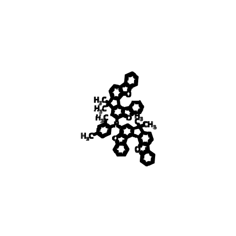 Cc1ccc(N(c2cc3c(c4c2oc2ccccc24)-c2c(ccc4c2oc2ccccc24)C3(C)C)c2cc3c(c4c2oc2ccccc24)-c2c(ccc4c2oc2ccccc24)C3(C)C)c(C)c1